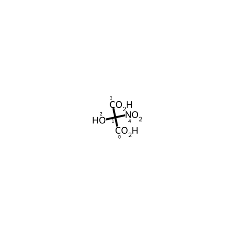 O=C(O)C(O)(C(=O)O)[N+](=O)[O-]